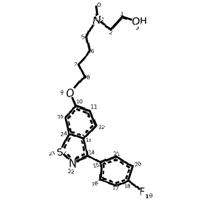 CN(CCO)CCCCOc1ccc2c(-c3ccc(F)cc3)nsc2c1